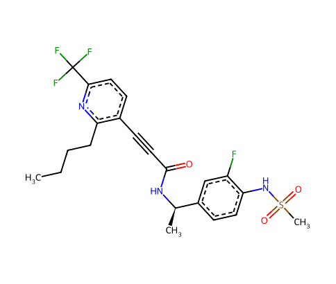 CCCCc1nc(C(F)(F)F)ccc1C#CC(=O)N[C@H](C)c1ccc(NS(C)(=O)=O)c(F)c1